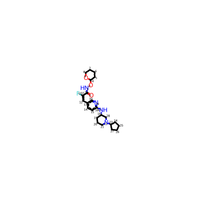 O=C(NOC1CCCCO1)/C(F)=C\c1ccc(N[C@@H]2CCCN(C3CCCC3)C2)nc1